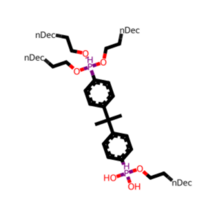 CCCCCCCCCCCCO[PH](O)(O)c1ccc(C(C)(C)c2ccc([PH](OCCCCCCCCCCCC)(OCCCCCCCCCCCC)OCCCCCCCCCCCC)cc2)cc1